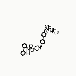 CC[N+](C)(C)Cc1ccc(-c2ccc(CN3CCC(OC(=O)Nc4ccccc4-c4ccccc4)CC3)cc2)cc1